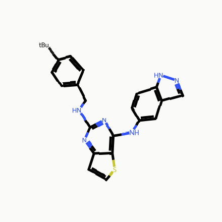 CC(C)(C)c1ccc(CNc2nc(Nc3ccc4[nH]ncc4c3)c3sccc3n2)cc1